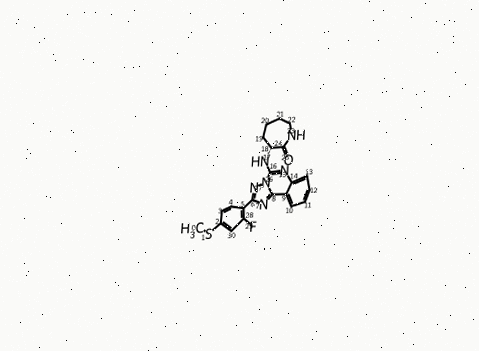 CSc1ccc(-c2nc3c4ccccc4nc(N[C@@H]4CCCCNC4=O)n3n2)c(F)c1